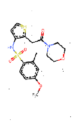 Cc1cc(OC(F)(F)F)ccc1S(=O)(=O)Nc1ccsc1CC(=O)N1CCOCC1